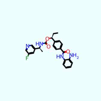 CC[C@H](OC(=O)N[C@@H](C)c1cncc(F)c1)c1ccc(C(=O)Nc2ccccc2N)cc1